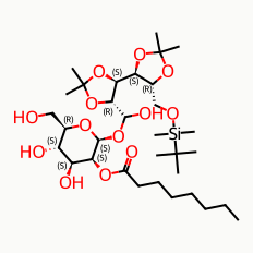 CCCCCCCC(=O)O[C@@H]1[C@H](OC(O)[C@@H]2OC(C)(C)O[C@H]2[C@H]2OC(C)(C)O[C@@H]2CO[Si](C)(C)C(C)(C)C)O[C@H](CO)[C@@H](O)[C@@H]1O